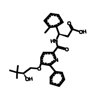 Cc1ccccc1[C@@H](CC(=O)O)NC(=O)c1ccc(OC[C@H](O)C(C)(C)C)c(-c2ccccc2)n1